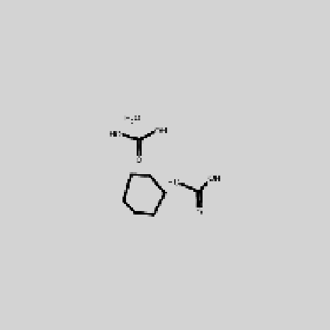 C1CCCCC1.O.O=C(O)O.O=C(O)O